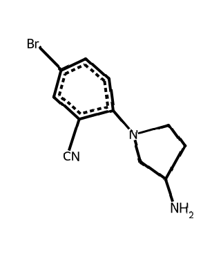 N#Cc1cc(Br)ccc1N1CCC(N)C1